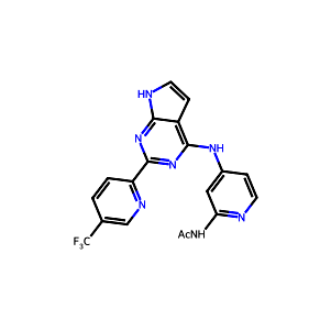 CC(=O)Nc1cc(Nc2nc(-c3ccc(C(F)(F)F)cn3)nc3[nH]ccc23)ccn1